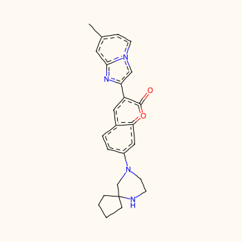 Cc1ccn2cc(-c3cc4ccc(N5CCNC6(CCCC6)C5)cc4oc3=O)nc2c1